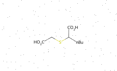 CCCCC(SCC(=O)O)C(=O)O